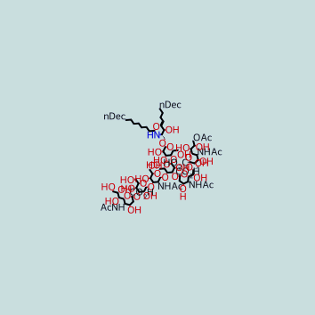 CCCCCCCCCCCCC/C=C/[C@@H](O)[C@H](CO[C@@H]1OC(CO)[C@@H](O[C@@H]2OC(CO)[C@H](O[C@@H]3OC(CO)[C@H](O)[C@H](O[C@@H]4OC(CO)[C@H](O)[C@H](O[C@]5(C(=O)O)CC(O)[C@@H](NC(C)=O)C([C@H](O)[C@H](O)CO)O5)C4O)C3NC(C)=O)[C@H](O[C@]3(C(=O)O)CC(O)[C@@H](NC(C)=O)C([C@H](O)[C@@H](CO)O[C@]4(C(=O)O)CC(O)[C@@H](NC(C)=O)C([C@H](O)[C@H](O)COC(C)=O)O4)O3)C2O)[C@H](O)C1O)NC(=O)CCCCCCCCCCCCCCCCC